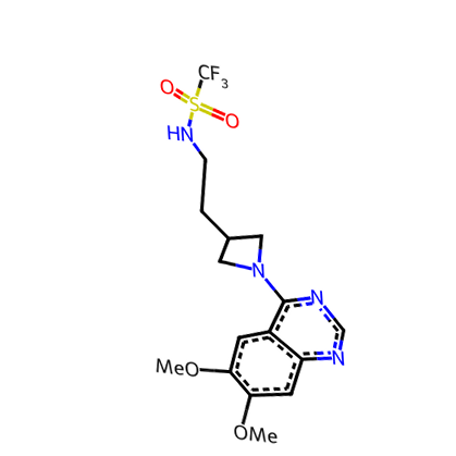 COc1cc2ncnc(N3CC(CCNS(=O)(=O)C(F)(F)F)C3)c2cc1OC